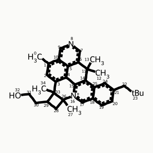 Cc1cc2c3c4c(cncc14)C(C)(C)c1c-3[n+](cc3ccc(CC(C)(C)C)cc13)C1(C)CC(CCO)C21C